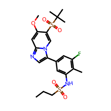 CCCS(=O)(=O)Nc1cc(-c2cnc3cc(OC)c(S(=O)(=O)C(C)(C)C)cn23)cc(F)c1C